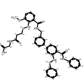 COc1cccc(C(=O)NCc2ccccc2)c1[Se]SCCC(=O)NCC(=O)O.O=C(Nc1ccccc1)c1ccccc1[Se]Sc1ccccc1